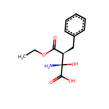 CCOC(=O)[C@@H](Cc1ccccc1)[C@](N)(O)C(=O)O